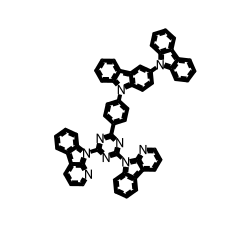 c1ccc2c(c1)c1ccccc1n2-c1ccc2c(c1)c1ccccc1n2-c1ccc(-c2nc(-n3c4ccccc4c4cccnc43)nc(-n3c4ccccc4c4cccnc43)n2)cc1